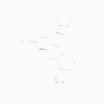 CCc1cccc2cc(O)cc(-c3ncc4c(N5CC6CCC(C5)C6O)nc(OC)nc4c3F)c12